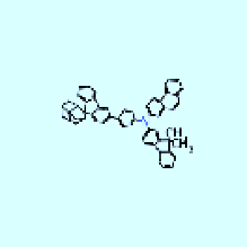 CC1(C)c2ccccc2-c2ccc(N(c3ccc(-c4ccc5c(c4)-c4ccccc4C54C5CC6CC(C5)CC4C6)cc3)c3ccc4c(ccc5ccccc54)c3)cc21